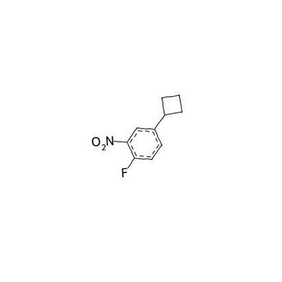 O=[N+]([O-])c1cc(C2CCC2)ccc1F